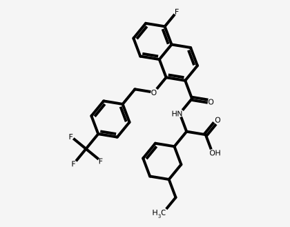 CCC1CC=CC(C(NC(=O)c2ccc3c(F)cccc3c2OCc2ccc(C(F)(F)F)cc2)C(=O)O)C1